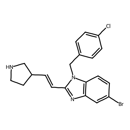 Clc1ccc(Cn2c(/C=C/C3CCNC3)nc3cc(Br)ccc32)cc1